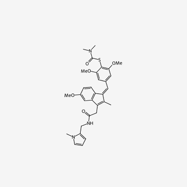 COc1ccc2c(c1)C(CC(=O)NCc1cccn1C)=C(C)/C2=C/c1cc(OC)c(SC(=O)N(C)C)c(OC)c1